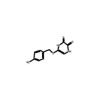 N#Cc1ccc(CSc2c[nH]c(=O)c(=O)[nH]2)cc1